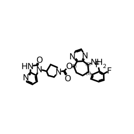 N[C@@H]1c2nccnc2[C@H](OC(=O)N2CCC(n3c(=O)[nH]c4ncccc43)CC2)CC[C@H]1c1cccc(F)c1F